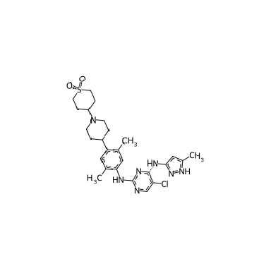 Cc1cc(Nc2nc(Nc3cc(C)c(C4CCN(C5CCS(=O)(=O)CC5)CC4)cc3C)ncc2Cl)n[nH]1